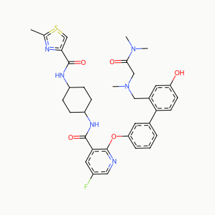 Cc1nc(C(=O)NC2CCC(NC(=O)c3cc(F)cnc3Oc3cccc(-c4ccc(O)cc4CN(C)CC(=O)N(C)C)c3)CC2)cs1